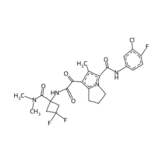 Cc1c(C(=O)C(=O)NC2(C(=O)N(C)C)CC(F)(F)C2)c2n(c1C(=O)Nc1ccc(F)c(Cl)c1)CCC2